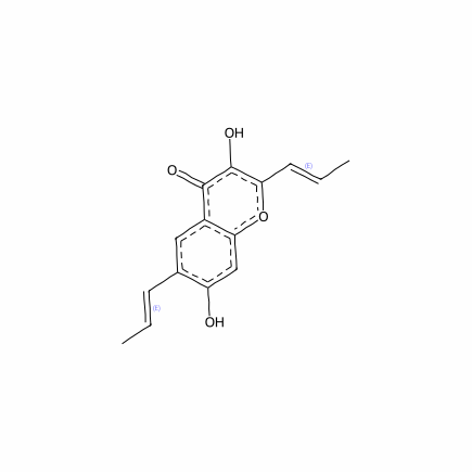 C/C=C/c1cc2c(=O)c(O)c(/C=C/C)oc2cc1O